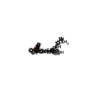 Cc1ncsc1-c1ccc(CNC(=O)[C@@H]2C[C@@H](O)CN2C(=O)[C@@H](NC(=O)C2CC3(C2)CC(N2CCC(Oc4cc(N5C6CCC5CN(c5cc(-c7ccccc7O)nnc5N)C6)ccn4)CC2)C3)C(C)(C)C)cc1